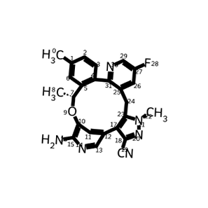 Cc1ccc2c(c1)[C@@H](C)Oc1cc(cnc1N)-c1c(C#N)nn(C)c1Cc1cc(F)cnc1-2